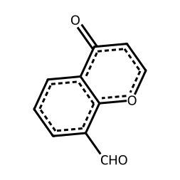 O=Cc1cccc2c(=O)ccoc12